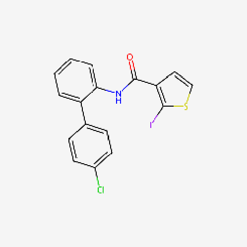 O=C(Nc1ccccc1-c1ccc(Cl)cc1)c1ccsc1I